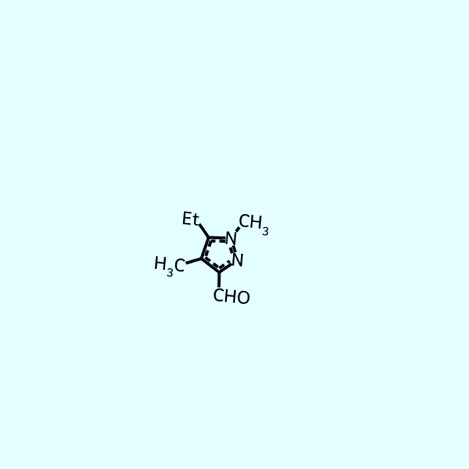 CCc1c(C)c(C=O)nn1C